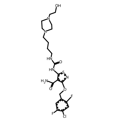 NC(=O)c1c(OCc2cc(F)c(Cl)cc2F)nsc1NC(=O)NCCCCN1CCN(CCO)CC1